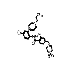 O=C(Nc1ccc(Cl)cc1N1CCN(CCC(F)(F)F)CC1)c1ccc(CN2CCS(=O)(=O)CC2)cc1F